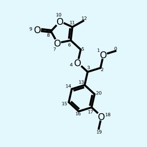 COCC(OCc1oc(=O)oc1C)c1cccc(OC)c1